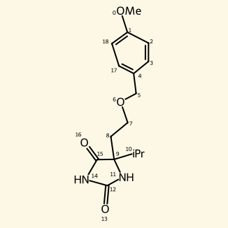 COc1ccc(COCCC2(C(C)C)NC(=O)NC2=O)cc1